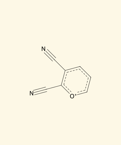 N#Cc1ccc[o+]c1C#N